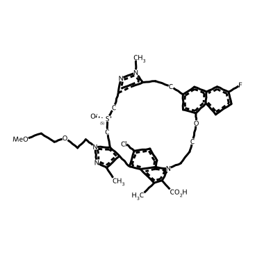 COCCOCCn1nc(C)c2c1C[S@+]([O-])Cc1cc(n(C)n1)CCc1cc(c3ccc(F)cc3c1)OCCCn1c(C(=O)O)c(C)c3c-2c(Cl)ccc31